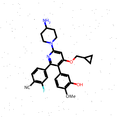 COc1ccc(-c2c(OCC3CC3)cc(N3CCC(N)CC3)nc2-c2ccc(C#N)c(F)c2)cc1O